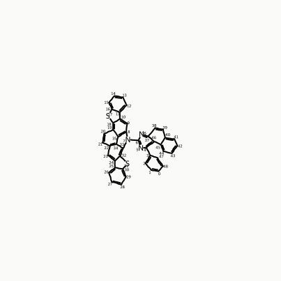 c1ccc(-c2nc(-n3c4cc5c6ccccc6sc5c5ccc6cc7c8ccccc8sc7c3c6c54)nc3ccc4ccccc4c23)cc1